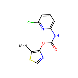 CNc1scnc1OC(=O)Nc1cccc(Cl)n1